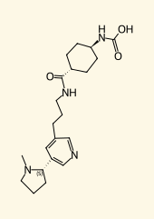 CN1CCC[C@H]1c1cncc(CCCNC(=O)[C@H]2CC[C@H](NC(=O)O)CC2)c1